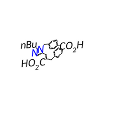 CCCCc1ncc(C=C(Cc2ccccc2)C(=O)O)n1Cc1ccc(C(=O)O)cc1